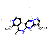 CCOC(=O)c1cnn2ccc(NC(C)c3cccnc3OC)nc12